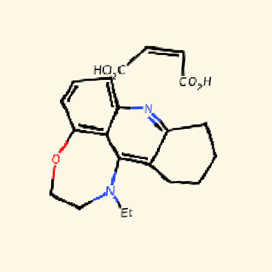 CCN1CCOc2cccc3nc4c(c1c23)CCCC4.O=C(O)/C=C\C(=O)O